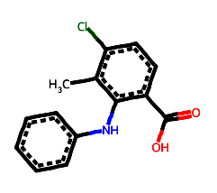 Cc1c(Cl)ccc(C(=O)O)c1Nc1ccccc1